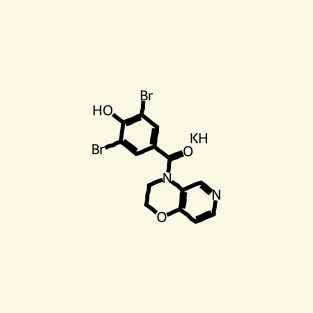 O=C(c1cc(Br)c(O)c(Br)c1)N1CCOc2ccncc21.[KH]